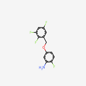 Nc1cc(OCc2cc(F)cc(F)c2F)ccc1F